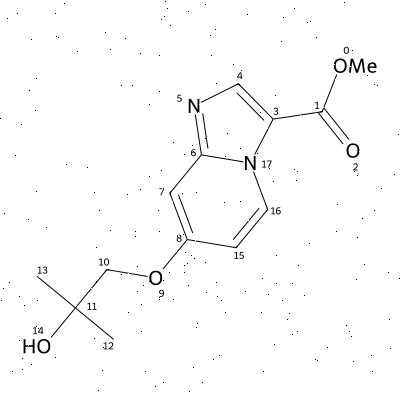 COC(=O)c1cnc2cc(OCC(C)(C)O)ccn12